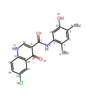 CC(C)(C)c1cc(C(C)(C)C)c(NC(=O)c2c[nH]c3ccc(Cl)cc3c2=O)cc1O